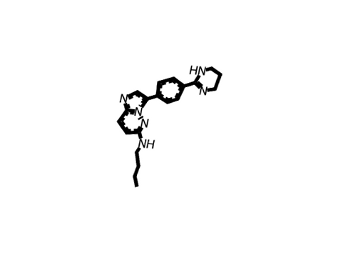 CCCCNc1ccc2ncc(-c3ccc(C4=NCCCN4)cc3)n2n1